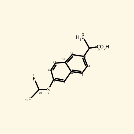 CC(C(=O)O)c1ccc2cc(SC(F)F)ccc2c1